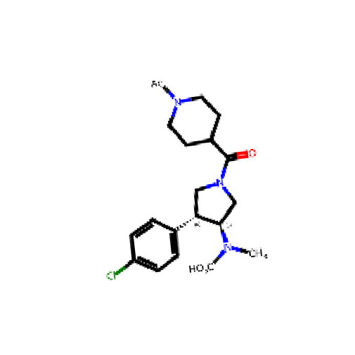 CC(=O)N1CCC(C(=O)N2C[C@@H](N(C)C(=O)O)[C@H](c3ccc(Cl)cc3)C2)CC1